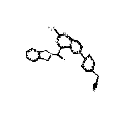 N#CCc1ccc(-c2ccc3nc(N)nc(C(=O)N4Cc5ccccc5C4)c3c2)cc1